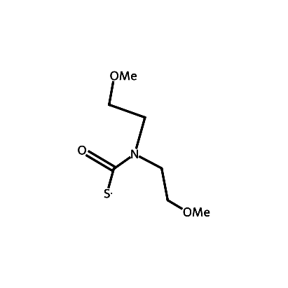 COCCN(CCOC)C(=O)[S]